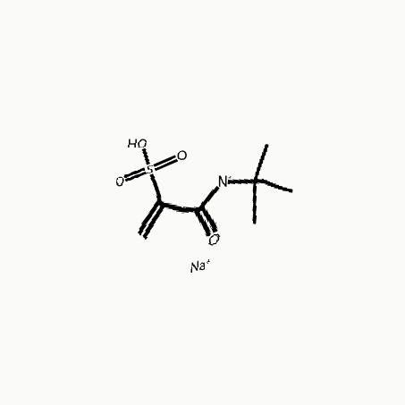 C=C(C(=O)[N-]C(C)(C)C)S(=O)(=O)O.[Na+]